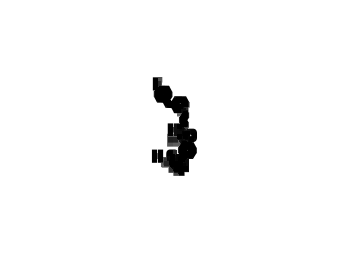 Cn1nnnc1-c1cccc(NC(=O)NCCCN2CCCC(Cc3ccc(F)cc3)C2)c1